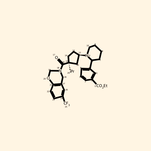 CCOC(=O)c1cccc(C2CCCCN2[C@@H]2CC[C@@](C(=O)N3COc4ccc(C(F)(F)F)cc4C3)(C(C)C)C2)c1